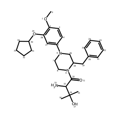 COc1ccc(N2CCN(C(=O)C(N)C(C)(C)O)C(Cc3ccccc3)C2)cc1OC1CCCC1